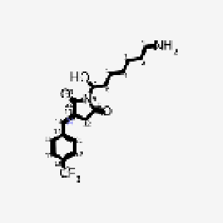 NCCCCCCC(O)N1C(=O)C/C(=C\c2ccc(C(F)(F)F)cc2)C1=O